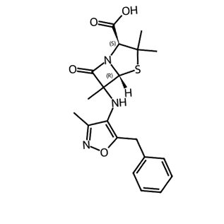 Cc1noc(Cc2ccccc2)c1NC1(C)C(=O)N2[C@@H](C(=O)O)C(C)(C)S[C@@H]21